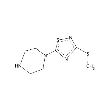 CSc1nsc(N2CCNCC2)n1